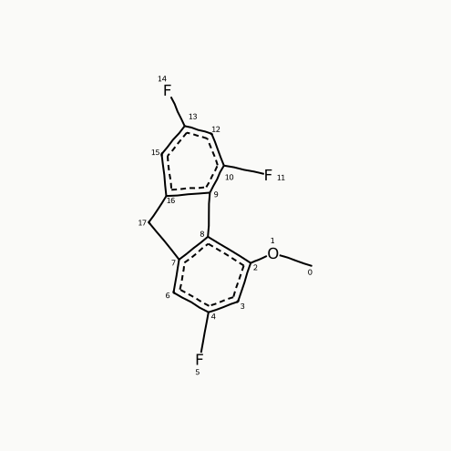 COc1cc(F)cc2c1-c1c(F)cc(F)cc1C2